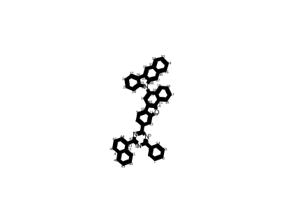 c1ccc(-c2nc(-c3ccc4c(c3)oc3c5ccccc5c(-n5c6ccccc6c6cc7ccccc7cc65)cc43)nc(-c3cccc4ccccc34)n2)cc1